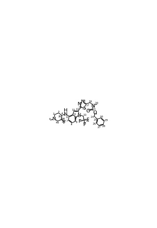 CN1CC[C@@H](Nc2cccc3c2cc(-c2nnc(CN(C)C(=O)OCc4ccccc4)s2)n3CC(F)(F)F)[C@@H](F)C1